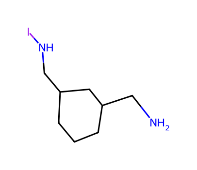 NCC1CCCC(CNI)C1